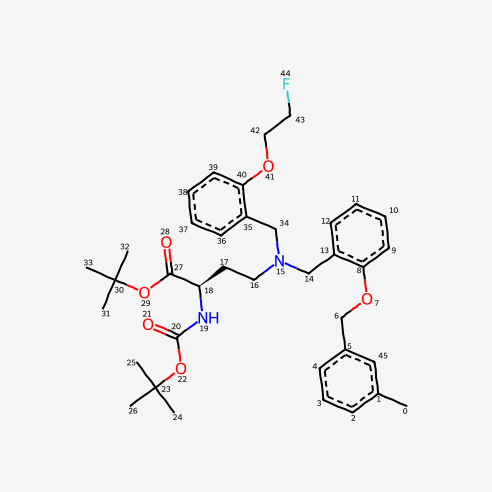 Cc1cccc(COc2ccccc2CN(CC[C@@H](NC(=O)OC(C)(C)C)C(=O)OC(C)(C)C)Cc2ccccc2OCCF)c1